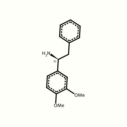 COc1ccc([C@@H](N)Cc2ccccc2)cc1OC